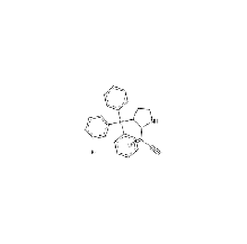 C#CC(=O)C1NCCC1[P+](c1ccccc1)(c1ccccc1)c1ccccc1.[Br-]